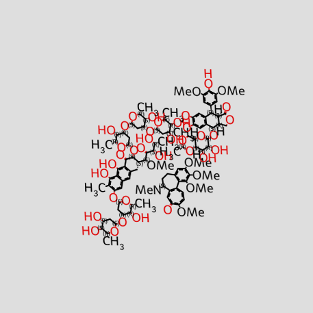 CN[C@H]1CCc2cc(OC)c(OC)c(OC)c2-c2ccc(OC)c(=O)cc21.CO[C@H](C(=O)[C@@H](O)[C@@H](C)O)[C@@H]1Cc2cc3cc(O[C@H]4C[C@@H](O[C@H]5C[C@@H](O)[C@H](O)[C@@H](C)O5)[C@H](O)[C@@H](C)O4)c(C)c(O)c3c(O)c2C(=O)[C@H]1O[C@H]1C[C@@H](O[C@H]2C[C@@H](O[C@H]3C[C@](C)(O)[C@H](O)[C@@H](C)O3)[C@@H](O)[C@@H](C)O2)[C@H](O)[C@@H](C)O1.COc1cc([C@@H]2c3cc4c(cc3[C@@H](O[C@@H]3O[C@@H]5CO[C@@H](C)O[C@H]5[C@H](O)[C@H]3O)[C@H]3COC(=O)[C@H]23)OCO4)cc(OC)c1O